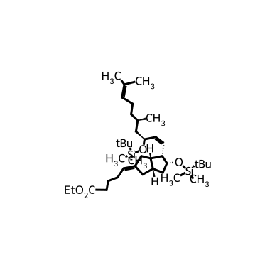 CCOC(=O)CCC/C=C1\C[C@H]2C[C@@H](O[Si](C)(C)C(C)(C)C)[C@@H](/C=C\[C@H](C[C@H](C)CCC=C(C)C)O[Si](C)(C)C(C)(C)C)[C@H]2C1